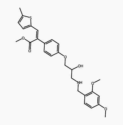 COC(=O)C(=Cc1ccc(C)s1)c1ccc(OCC(O)CNCc2ccc(OC)cc2OC)cc1